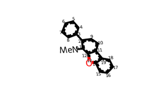 CNc1c(-c2ccccc2)ccc2c1oc1ccccc12